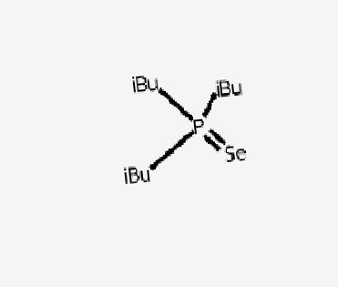 CCC(C)P(=[Se])(C(C)CC)C(C)CC